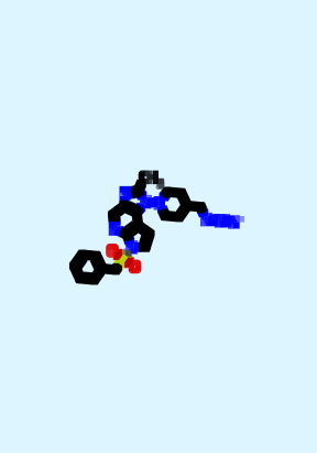 Cc1nc2cnc3c(ccn3S(=O)(=O)Cc3ccccc3)c2n1N1CCC(CN=[N+]=[N-])CC1